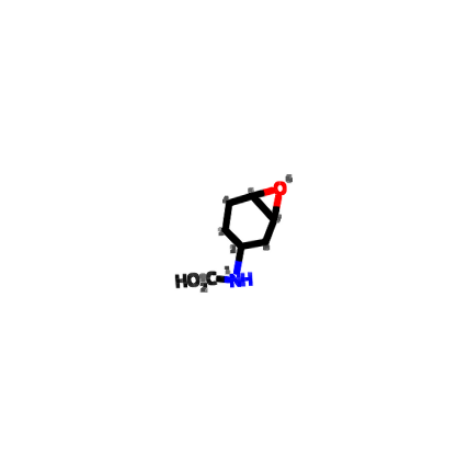 O=C(O)NC1CCC2OC2C1